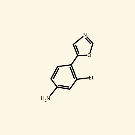 CCc1cc(N)ccc1-c1cnco1